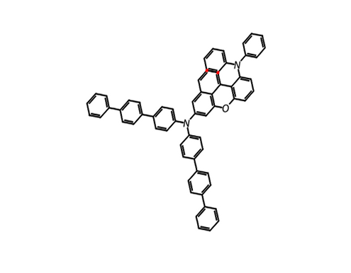 c1ccc(-c2ccc(-c3ccc(N(c4ccc(-c5ccc(-c6ccccc6)cc5)cc4)c4cc5c6c(cccc6c4)-c4c(cccc4N(c4ccccc4)c4ccccc4)O5)cc3)cc2)cc1